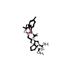 Cc1ccc(OC(=S)OC2CN(C(=O)O)[C@@]3(C(=O)O)CCC[C@@]23CCCB2OC(C)(C)C(C)(C)O2)cc1